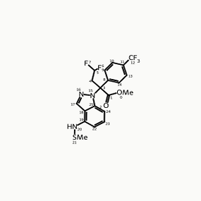 COC(=O)C(CC(F)F)(c1ccc(C(F)(F)F)cc1)n1ncc2c(NSC)cccc21